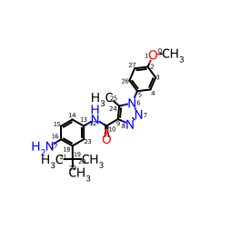 COc1ccc(-n2nnc(C(=O)Nc3ccc(N)c(C(C)(C)C)c3)c2C)cc1